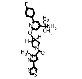 Cn1nc(-c2cscn2)cc1C(=O)N1C[C@@H]2C(Oc3cc(C(C)(C)N)cc(-c4ccc(F)cc4)n3)[C@@H]2C1